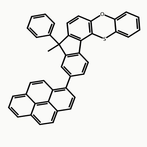 CC1(c2ccccc2)c2cc(-c3ccc4ccc5cccc6ccc3c4c56)ccc2-c2c1ccc1c2Sc2ccccc2O1